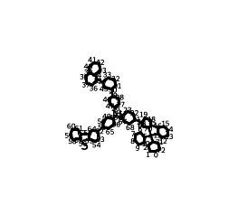 c1ccc(C2(c3ccccc3)c3ccccc3-c3ccc(-c4ccc(N(c5ccc(-c6cccc(-c7cccc8ccccc78)c6)cc5)c5ccc(-c6ccc7sc8ccccc8c7c6)cc5)cc4)cc32)cc1